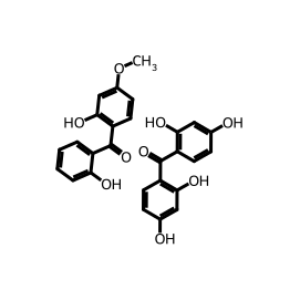 COc1ccc(C(=O)c2ccccc2O)c(O)c1.O=C(c1ccc(O)cc1O)c1ccc(O)cc1O